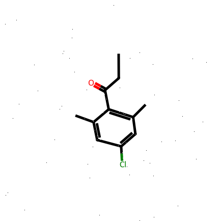 CCC(=O)c1c(C)cc(Cl)cc1C